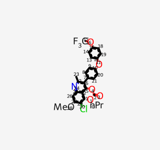 CCCOC(=O)Oc1c(-c2ccc(Oc3ccc(OC(F)(F)F)cc3)cc2)c(C)nc2cc(OC)c(Cl)cc12